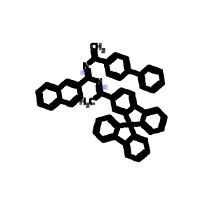 C=C(/N=C(\N=C(/C)c1ccc2c(c1)C1(c3ccccc3-c3ccccc31)c1ccccc1-2)c1ccc2ccccc2c1)c1ccc(-c2ccccc2)cc1